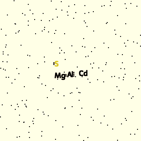 [Al].[Cd].[Mg].[S]